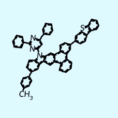 Cc1ccc(-c2ccc3c(c2)c2cc4c5ccccc5c5cc(-c6ccc7c(c6)sc6ccccc67)ccc5c4cc2n3-c2cc(-c3ccccc3)nc(-c3ccccc3)n2)cc1